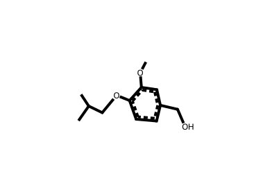 COc1cc(CO)ccc1OCC(C)C